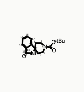 CC(C)(C)OC(=O)N1CCC2(CC1)NC(=O)c1ccccc12